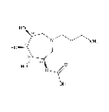 CCCCN1C[C@H](O)[C@H](O)[C@@H](O)[C@H](OC(=O)O)C1